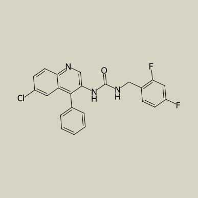 O=C(NCc1ccc(F)cc1F)Nc1cnc2ccc(Cl)cc2c1-c1ccccc1